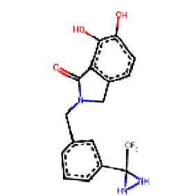 O=C1c2c(ccc(O)c2O)CN1Cc1cccc(C2(C(F)(F)F)NN2)c1